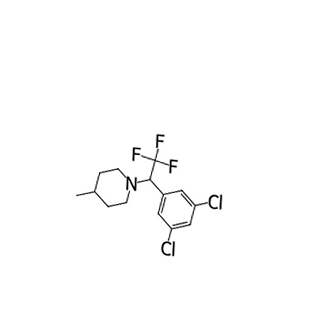 CC1CCN(C(c2cc(Cl)cc(Cl)c2)C(F)(F)F)CC1